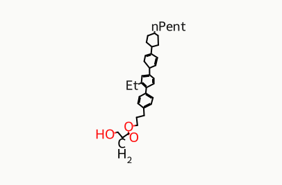 C=C(CO)C(=O)OCCCc1ccc(-c2ccc(C3C=CC(C4CCC(CCCCC)CC4)=CC3)cc2CC)cc1